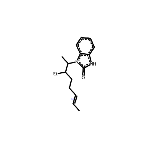 C/C=C/CCC(CC)C(C)n1c(=O)[nH]c2ccccc21